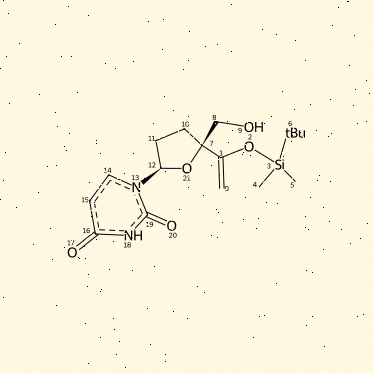 C=C(O[Si](C)(C)C(C)(C)C)[C@@]1(CO)CC[C@H](n2ccc(=O)[nH]c2=O)O1